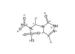 CCS(=O)(=O)N(C(C)N1CC(C)=NNC1=O)[SH](=O)=O